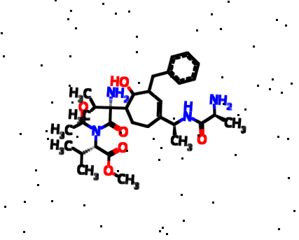 COC(=O)[C@H](C(C)C)N(C(C)=O)C(=O)[C@@](N)(C(C)C)C1CCC([C@H](C)NC(=O)[C@H](C)N)=CC(Cc2ccccc2)C1O